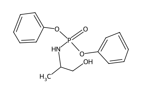 CC(CO)NP(=O)(Oc1ccccc1)Oc1ccccc1